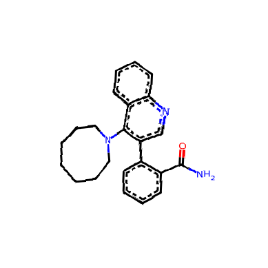 NC(=O)c1ccccc1-c1cnc2ccccc2c1N1CCCCCCC1